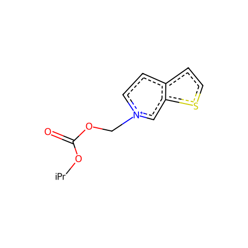 CC(C)OC(=O)OC[n+]1ccc2ccsc2c1